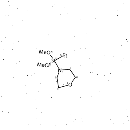 CC[Si](OC)(OC)N1CCOCC1